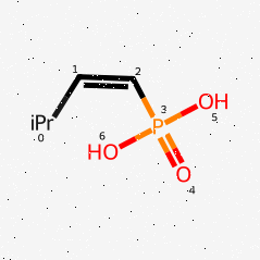 CC(C)/C=C\P(=O)(O)O